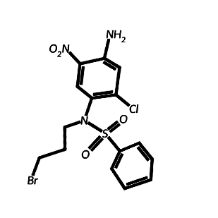 Nc1cc(Cl)c(N(CCCBr)S(=O)(=O)c2ccccc2)cc1[N+](=O)[O-]